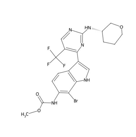 COC(=O)Nc1ccc2c(-c3nc(N[C@H]4CCCOC4)ncc3C(F)(F)F)c[nH]c2c1Br